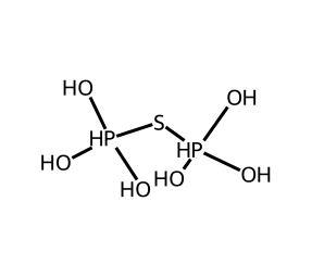 O[PH](O)(O)S[PH](O)(O)O